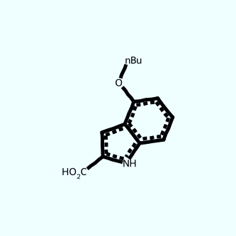 CCCCOc1cccc2[nH]c(C(=O)O)cc12